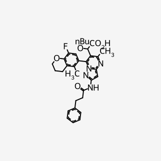 CCCCOC(C(=O)O)c1c(C)nc2cc(NC(=O)CCc3ccccc3)nn2c1-c1cc(F)c2c(c1C)CCCO2